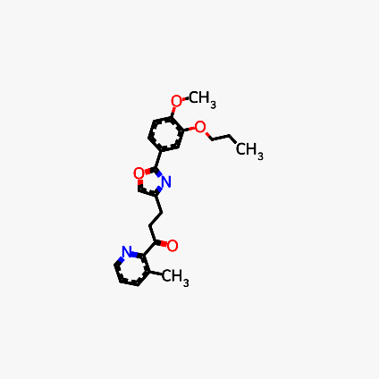 CCCOc1cc(-c2nc(CCC(=O)c3ncccc3C)co2)ccc1OC